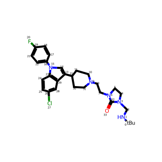 CC(C)(C)NCN1CCN(CCN2CCC(c3cn(-c4ccc(F)cc4)c4ccc(Cl)cc34)CC2)C1=O